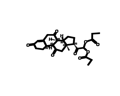 CCC(=O)OC(OC(=O)CC)C(=O)[C@H]1CC[C@H]2[C@@H]3C(=O)CC4=CC(=O)CC[C@]4(C)[C@H]3C(=O)C[C@]12C